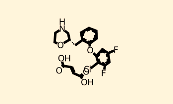 Fc1cc(F)c(Cl)c(Oc2ccccc2C[C@H]2CNCCO2)c1.O=C(O)/C=C/C(=O)O